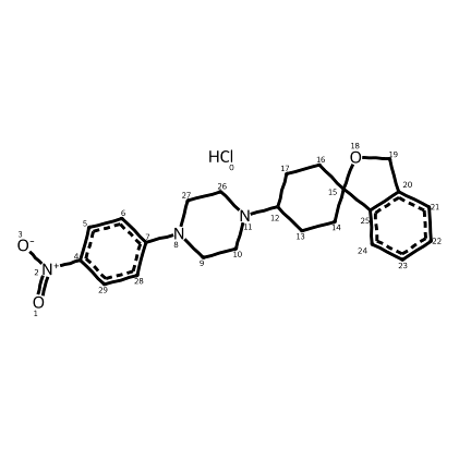 Cl.O=[N+]([O-])c1ccc(N2CCN(C3CCC4(CC3)OCc3ccccc34)CC2)cc1